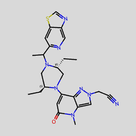 CC[C@H]1CN(C(C)c2cc3scnc3cn2)[C@H](CC)CN1c1cc(=O)n(C)c2cn(CC#N)nc12